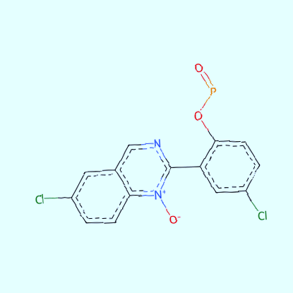 O=POc1ccc(Cl)cc1-c1ncc2cc(Cl)ccc2[n+]1[O-]